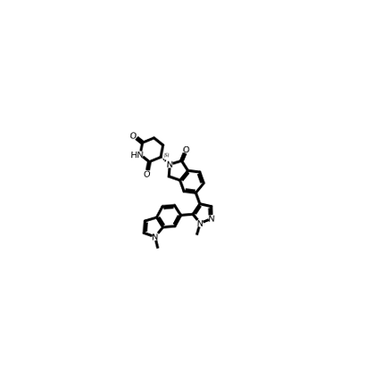 Cn1ncc(-c2ccc3c(c2)CN([C@H]2CCC(=O)NC2=O)C3=O)c1-c1ccc2ccn(C)c2c1